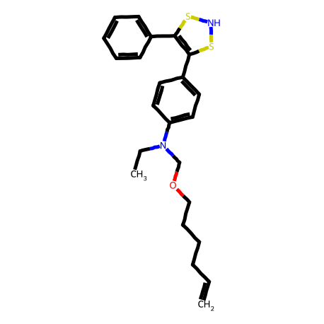 C=CCCCCOCN(CC)c1ccc(C2=C(c3ccccc3)SNS2)cc1